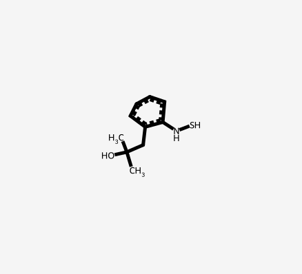 CC(C)(O)Cc1ccccc1NS